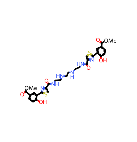 COC(=O)c1ccc(O)c(-c2nc(C(=O)NCCNCCNCCNC(=O)c3csc(-c4cc(C(=O)OC)ccc4O)n3)cs2)c1